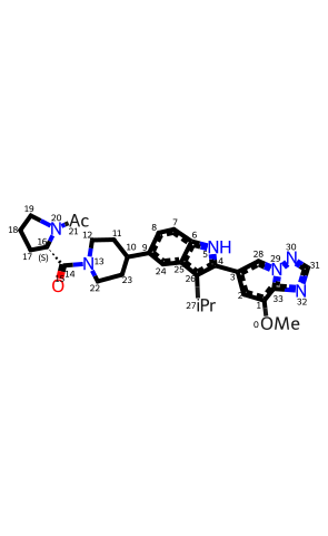 COc1cc(-c2[nH]c3ccc(C4CCN(C(=O)[C@@H]5CCCN5C(C)=O)CC4)cc3c2C(C)C)cn2ncnc12